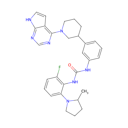 CC1CCCN1c1cccc(F)c1NC(=O)Nc1cccc(C2CCCN(c3ncnc4[nH]ccc34)C2)c1